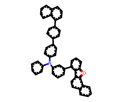 c1ccc(N(c2ccc(-c3ccc(-c4cccc5ccccc45)cc3)cc2)c2cccc(-c3cccc4oc5c6ccccc6ccc5c34)c2)cc1